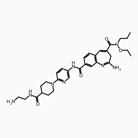 CCCN(OCC)C(=O)C1=Cc2ccc(C(=O)Nc3ccc(N4CCC(C(=O)NCCN)CC4)nc3)cc2N=C(N)C1